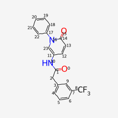 O=C(Cc1cccc(C(F)(F)F)c1)Nc1ccc(=O)n(-c2ccccc2)c1